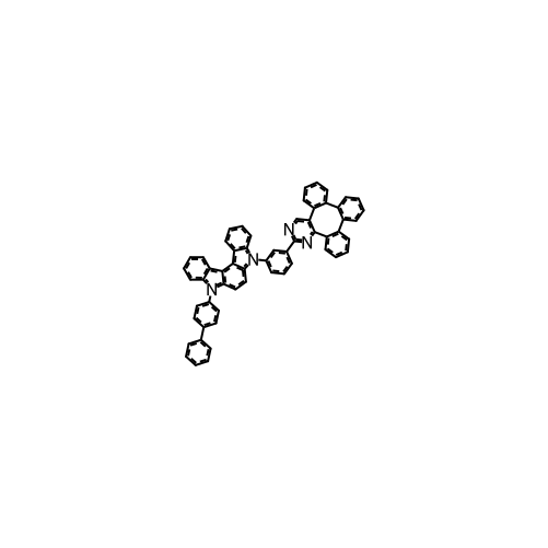 c1ccc(-c2ccc(-n3c4ccccc4c4c5c6ccccc6n(-c6cccc(-c7ncc8c(n7)-c7ccccc7-c7ccccc7-c7ccccc7-8)c6)c5ccc43)cc2)cc1